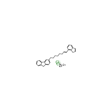 C(=Cc1cccc2c1CC=C2)CCCCCCc1ccc2c(c1)-c1ccccc1C2.[Cl-].[Cl-].[Zr+2]